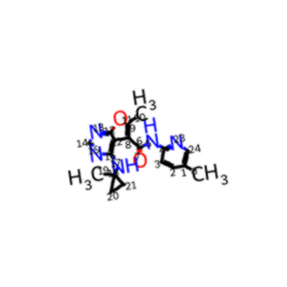 Cc1ccc(NC(=O)c2c(C)oc3ncnc(NC4(C)CC4)c23)nc1